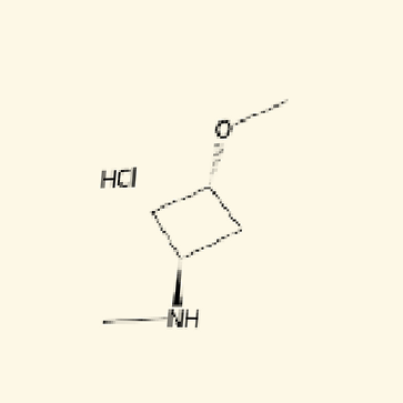 CN[C@H]1C[C@H](OC)C1.Cl